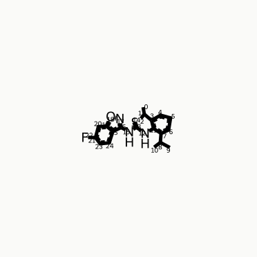 CC(C)c1cccc(C(C)C)c1NC(=S)Nc1noc2cc(F)ccc12